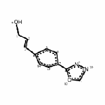 OC/C=C/c1ccc(-c2nnco2)cc1